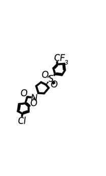 O=c1c2ccc(Cl)cc2on1[C@H]1CC[C@H](S(=O)(=O)c2cccc(C(F)(F)F)c2)CC1